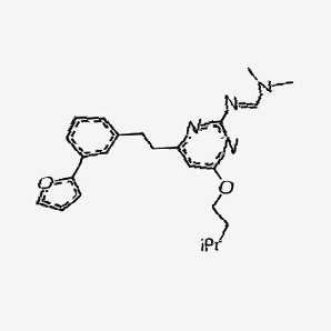 CC(C)CCOc1cc(CCc2cccc(-c3ccco3)c2)nc(/N=C/N(C)C)n1